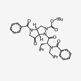 CC(C)C[C@@H](C(=O)N1[C@@H]2C(=O)CN(C(=O)c3ccccc3)[C@@H]2CN1C(=O)OC(C)(C)C)N(CC(C)C)C(=O)c1ccccc1